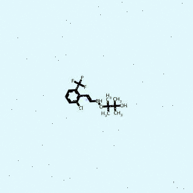 CC(C)(O)C(C)(C)OB/C=C/c1c(Cl)cccc1C(F)(F)F